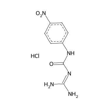 Cl.NC(N)=NC(=O)Nc1ccc([N+](=O)[O-])cc1